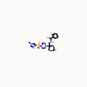 Cn1cnc(S(=O)(=O)N2CCN(C3(CNC(=O)c4ccccc4F)CCC(F)(F)CC3)CC2)c1